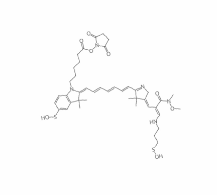 CON(C)C(=O)C(/C=C1\CN=C(/C=C/C=C/C=C/C=C2/N(CCCCCC(=O)ON3C(=O)CCC3=O)c3ccc(SO)cc3C2(C)C)C1(C)C)=C/NCCCSO